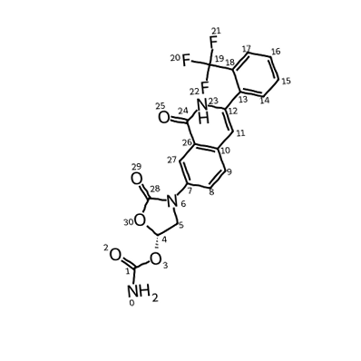 NC(=O)O[C@H]1CN(c2ccc3cc(-c4ccccc4C(F)(F)F)[nH]c(=O)c3c2)C(=O)O1